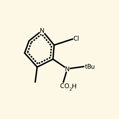 Cc1ccnc(Cl)c1N(C(=O)O)C(C)(C)C